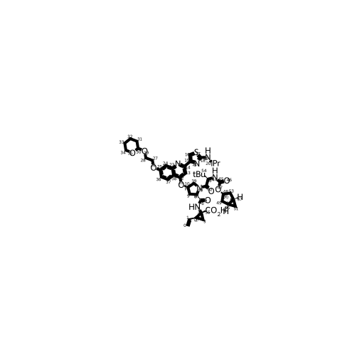 C=C[C@@H]1C[C@]1(NC(=O)[C@@H]1C[C@@H](Oc2cc(-c3csc(NC(C)C)n3)nc3cc(OCCOC4CCCCO4)ccc23)CN1C(=O)[C@@H](NC(=O)O[C@@H]1C[C@@H]2C[C@@H]2C1)C(C)(C)C)C(=O)O